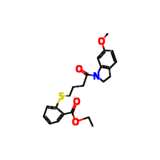 CCOC(=O)c1ccccc1SCCCC(=O)N1CCc2ccc(OC)cc21